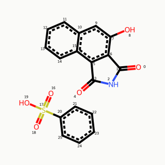 O=C1NC(=O)c2c1c(O)cc1ccccc21.O=S(=O)(O)c1ccccc1